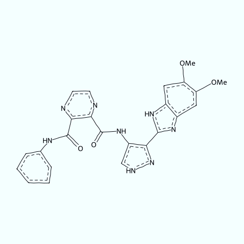 COc1cc2nc(-c3n[nH]cc3NC(=O)c3nccnc3C(=O)Nc3ccccc3)[nH]c2cc1OC